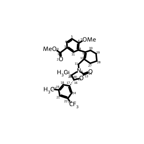 COC(=O)c1ccc(OC)c(C2=C(CN3C(=O)O[C@H](c4cc(C)cc(C(F)(F)F)c4)[C@@H]3C)CCCC2)c1